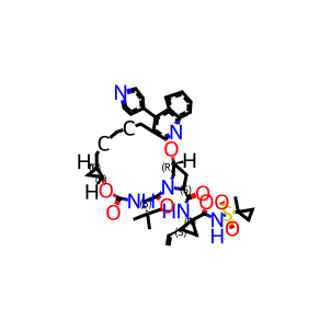 C=C[C@@H]1C[C@]1(NC(=O)[C@@H]1C[C@@H]2CN1C(=O)[C@H](C(C)(C)C)NC(=O)O[C@@H]1C[C@H]1CCCCCc1c(nc3ccccc3c1-c1ccncc1)O2)C(=O)NS(=O)(=O)C1(C)CC1